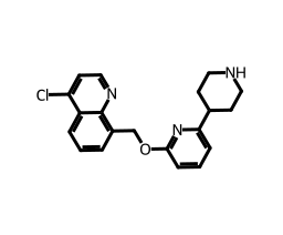 Clc1ccnc2c(COc3cccc(C4CCNCC4)n3)cccc12